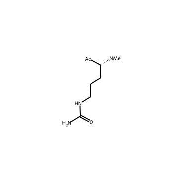 CN[C@H](CCCNC(N)=O)C(C)=O